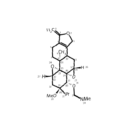 C=C1OCC2=C1CC[C@@]1(C)C2C[C@@H]2O[C@@]23[C@H](OCNC)[C@](OC)(C(C)C)C[C@@H]2O[C@@]231